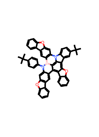 CC(C)(C)c1ccc(N2B3c4cc5c(cc4-n4c6ccc(C(C)(C)C)cc6c6c7oc8ccccc8c7c(c3c64)-c3cc4c(cc32)oc2ccccc24)oc2ccccc25)cc1